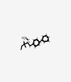 CCC(C)(C)[C@H](CN)Cc1ccc(-c2ccccc2)cc1